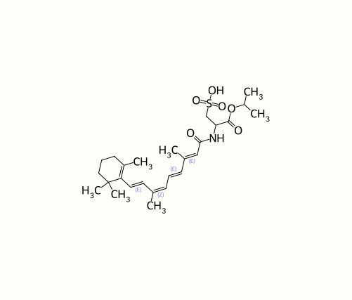 CC1=C(/C=C/C(C)=C\C=C\C(C)=C\C(=O)NC(CS(=O)(=O)O)C(=O)OC(C)C)C(C)(C)CCC1